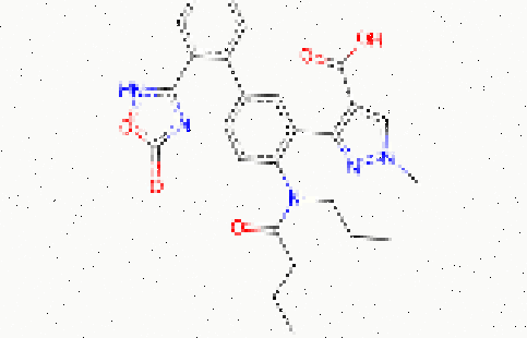 CCCC(=O)N(CCC)c1ccc(-c2ccccc2-c2nc(=O)o[nH]2)cc1-c1nn(C)cc1C(=O)O